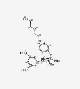 CCCC[N+](CCCC)(CCCC)Cc1ccccc1.O=C(O)c1cc(C(=O)O)cc(S(=O)(=O)O)c1.OCCOCCO